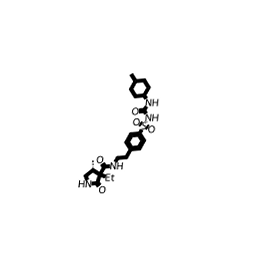 CCC1(C(=O)NCCc2ccc(S(=O)(=O)NC(=O)NC3CCC(C)CC3)cc2)C(=O)NC[C@@H]1C